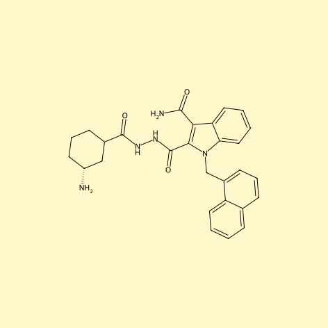 NC(=O)c1c(C(=O)NNC(=O)C2CCC[C@@H](N)C2)n(Cc2cccc3ccccc23)c2ccccc12